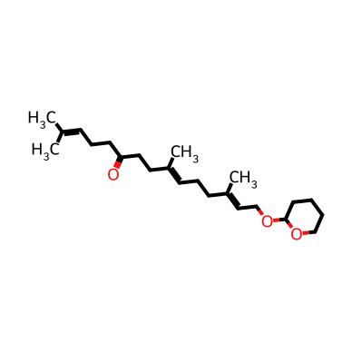 CC(C)=CCCC(=O)CC/C(C)=C/CC/C(C)=C/COC1CCCCO1